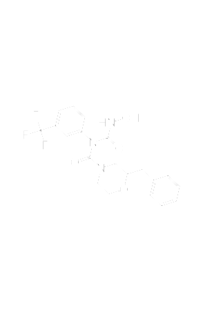 O=C(NO)N(C(=O)N1CCOC(Cc2ccccc2)C1)c1cccc(C(F)(F)F)c1